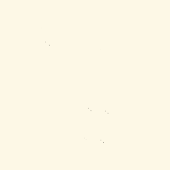 O=C1CN(c2cc(Cl)c(-c3ccccn3)c(Cl)c2)NC(=O)N1